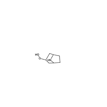 OOC1CC2CCC(C1)N2